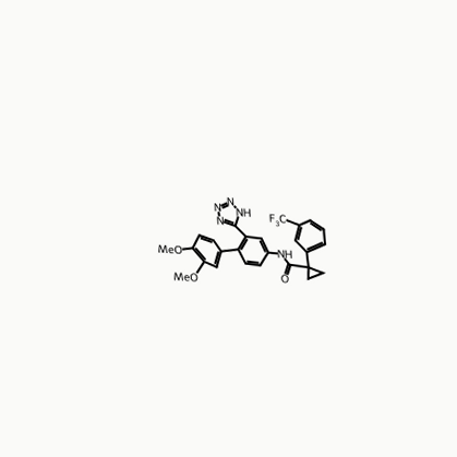 COc1ccc(-c2ccc(NC(=O)C3(c4cccc(C(F)(F)F)c4)CC3)cc2-c2nnn[nH]2)cc1OC